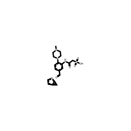 CN1CCN(c2ccc(C=O)cc2NC(=O)CS(=O)(=O)O)CC1.c1cc2cc-2n1